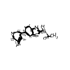 CC(=O)Nc1nc2ccc(-c3cncc(F)c3)cc2s1